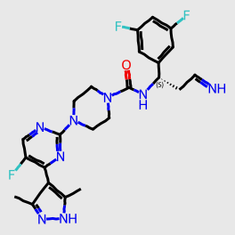 Cc1n[nH]c(C)c1-c1nc(N2CCN(C(=O)N[C@@H](CC=N)c3cc(F)cc(F)c3)CC2)ncc1F